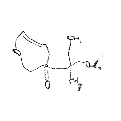 CC(C)(C)P1(=O)C=COC1